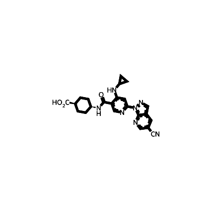 N#Cc1cnc2c(cnn2-c2cc(NC3CC3)c(C(=O)N[C@H]3CC[C@H](C(=O)O)CC3)cn2)c1